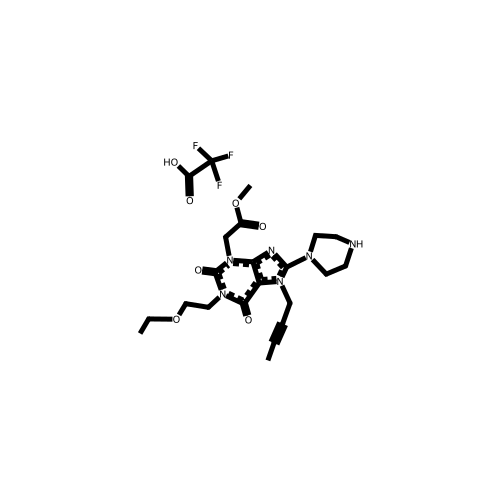 CC#CCn1c(N2CCNCC2)nc2c1c(=O)n(CCOCC)c(=O)n2CC(=O)OC.O=C(O)C(F)(F)F